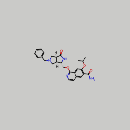 CC(C)Oc1cc2c(OC[C@H]3NC(=O)[C@@H]4CN(Cc5ccccc5)C[C@H]34)nccc2cc1C(N)=O